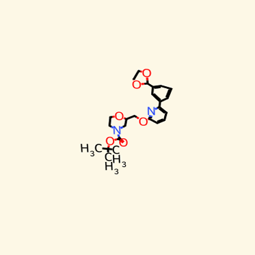 CC(C)(C)OC(=O)N1CCOC(COc2cccc(-c3cccc(C4OCCO4)c3)n2)C1